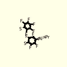 C[CH](C)[Al+2].Fc1c(F)c(F)c([S-])c(F)c1F.Fc1c(F)c(F)c([S-])c(F)c1F